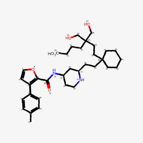 Cc1ccc(-c2ccoc2C(=O)NC2CCNC(CCC3(CCC(CO)(CO)CCCC(=O)O)CCCCC3)C2)cc1